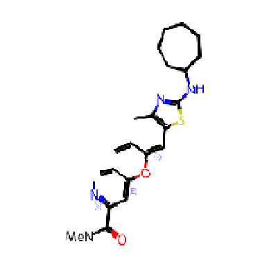 C=C/C(=C\C(=N/C)C(=O)NC)O/C(C=C)=C/c1sc(NC2CCCCCC2)nc1C